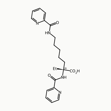 CC[C@](CCCCCNC(=O)c1ccccn1)(NC(=O)c1ccccn1)C(=O)O